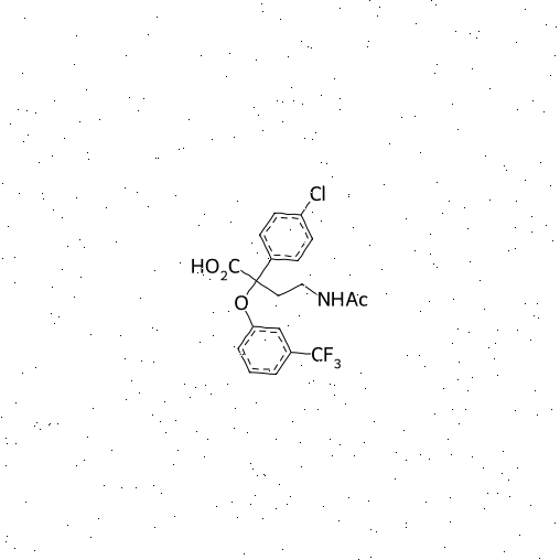 CC(=O)NCCC(Oc1cccc(C(F)(F)F)c1)(C(=O)O)c1ccc(Cl)cc1